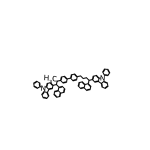 CC(c1ccc(-c2ccc(CCCC(c3ccc4c(c3)c3ccccc3n4-c3ccccc3)c3cccc4ccccc34)cc2)cc1)C(c1ccc2c(c1)c1ccccc1n2-c1ccccc1)c1cccc2ccccc12